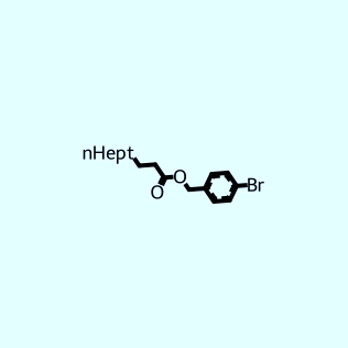 CCCCCCCCCC(=O)OCc1ccc(Br)cc1